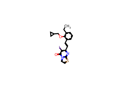 CCc1cccc(/C=C/c2nc3sccn3c(=O)c2I)c1OCC1CC1